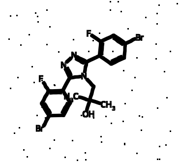 CC(C)(O)Cn1c(-c2ccc(Br)cc2F)nnc1-c1ccc(Br)cc1F